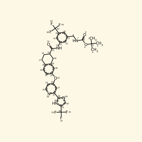 CC(C)(C)OC(=O)NCc1cc(NC(=O)C2CCc3ccc(Oc4ccnc(-c5ncc(C(F)(F)F)[nH]5)c4)cc3C2)cc(C(F)(F)F)c1